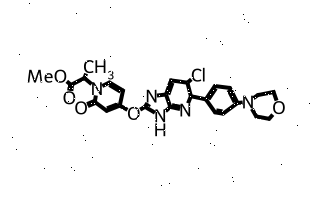 COC(=O)C(C)n1ccc(Oc2nc3c([nH]2)=NC(c2ccc(N4CCOCC4)cc2)C(Cl)C=3)cc1=O